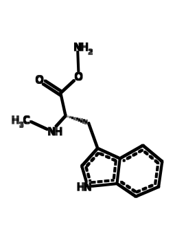 CN[C@@H](Cc1c[nH]c2ccccc12)C(=O)ON